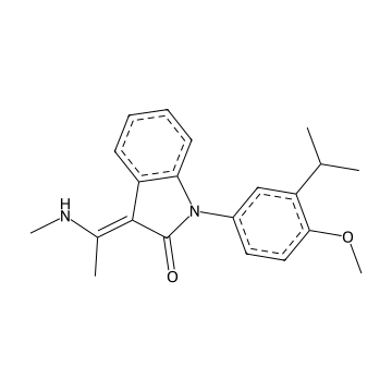 CNC(C)=C1C(=O)N(c2ccc(OC)c(C(C)C)c2)c2ccccc21